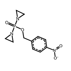 O=[N+]([O-])c1ccc(COP(=O)(N2CC2)N2CC2)cc1